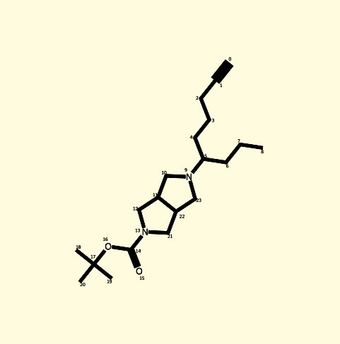 C#CCCCC(CCC)N1CC2CN(C(=O)OC(C)(C)C)CC2C1